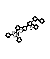 c1ccc(-c2cccc(-c3ccc(-c4ccc5oc6c(-c7nc(-c8ccccc8)nc(-c8ccccc8)n7)cccc6c5c4)c4sc5ccccc5c34)c2)cc1